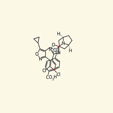 O=C(O)c1ccc(-c2noc(N3[C@@H]4CC[C@H]3CC(OCc3c(-c5c(Cl)cccc5Cl)noc3C3CC3)C4)n2)cc1Cl